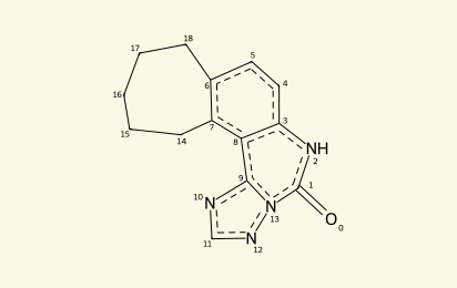 O=c1[nH]c2ccc3c(c2c2ncnn12)CCCCC3